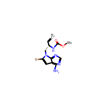 C=C[C@@H](Cn1c(Br)cc2c(N)ncnc21)NC(=O)OC(C)(C)C